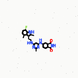 Cc1nc(NCCc2c(C)[nH]c3c(F)ccc(C)c23)cc(Nc2ccc3c(c2)C(=O)NC3=O)n1